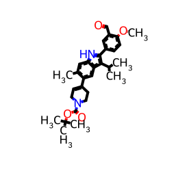 COc1ccc(-c2[nH]c3cc(C)c(C4=CCN(C(=O)OC(C)(C)C)CC4)cc3c2C(C)C)cc1C=O